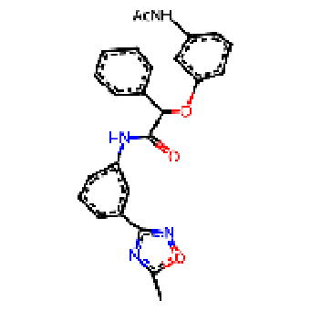 CC(=O)Nc1cccc(OC(C(=O)Nc2cccc(-c3noc(C)n3)c2)c2ccccc2)c1